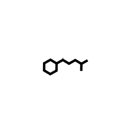 CC(C)CC[CH]C1CCCCC1